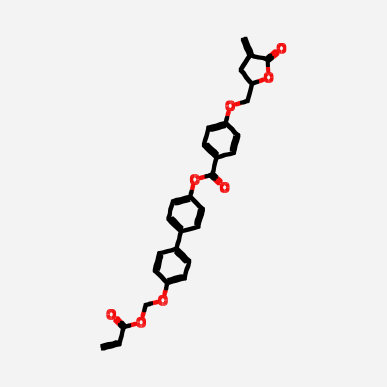 C=CC(=O)OCOc1ccc(-c2ccc(OC(=O)c3ccc(OCC4CC(=C)C(=O)O4)cc3)cc2)cc1